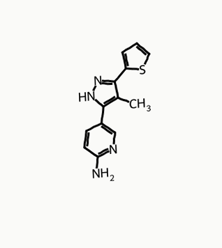 Cc1c(-c2cccs2)n[nH]c1-c1ccc(N)nc1